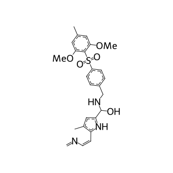 C=N/C=C\c1[nH]c(C(O)NCc2ccc(S(=O)(=O)c3c(OC)cc(C)cc3OC)cc2)cc1C